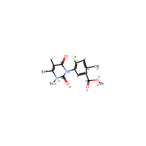 CCc1c(C)c(=O)n(-c2cc(C(=O)OC(C)C)c(C#N)cc2F)c(=O)n1CC